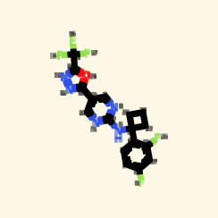 Fc1ccc(C2(Nc3ncc(-c4nnc(C(F)(F)F)o4)cn3)CCC2)c(F)c1